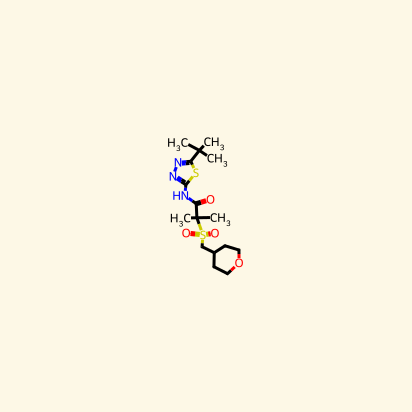 CC(C)(C)c1nnc(NC(=O)C(C)(C)S(=O)(=O)CC2CCOCC2)s1